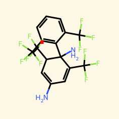 NC1=CC(C(F)(F)F)C(N)(c2c(C(F)(F)F)cccc2C(F)(F)F)C(C(F)(F)F)=C1